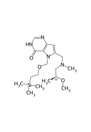 CO[C@@H](C)CN(C)Cc1cc2nc[nH]c(=O)c2n1COCC[Si](C)(C)C